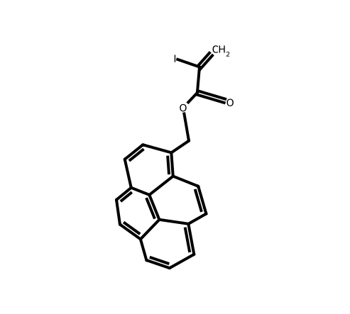 C=C(I)C(=O)OCc1ccc2ccc3cccc4ccc1c2c34